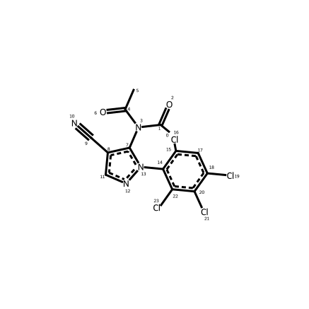 CC(=O)N(C(C)=O)c1c(C#N)cnn1-c1c(Cl)cc(Cl)c(Cl)c1Cl